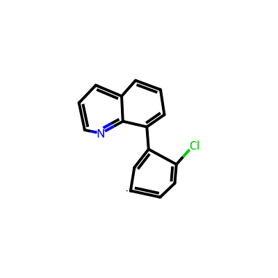 Clc1cc[c]cc1-c1cccc2cccnc12